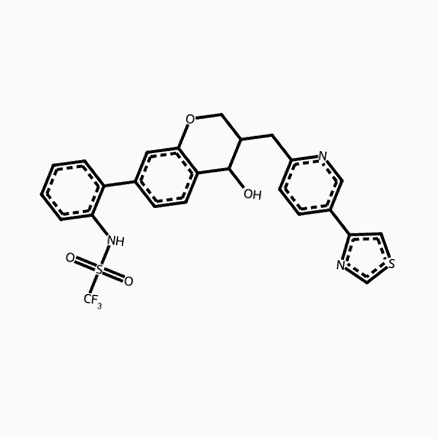 O=S(=O)(Nc1ccccc1-c1ccc2c(c1)OCC(Cc1ccc(-c3cscn3)cn1)C2O)C(F)(F)F